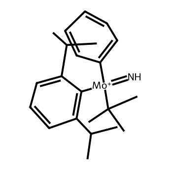 CC(C)c1cccc(C(C)C)[c]1[Mo+](=[NH])([c]1ccccc1)[C](C)(C)C